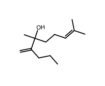 C=C(CCC)C(C)(O)CCC=C(C)C